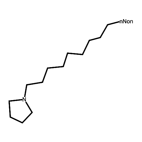 CCCCCCCCCCCCCCCCCCN1CCCC1